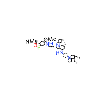 CNC(=O)c1cc(OC)c(NCC#Cc2cc3c(N[C@H]4CC[C@@H](N(C)C)CC4)cccc3n2CC(F)(F)F)cc1F